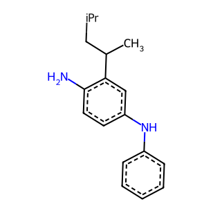 CC(C)CC(C)c1cc(Nc2ccccc2)ccc1N